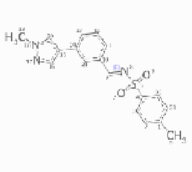 Cc1ccc(S(=O)(=O)/N=C/c2cccc(-c3cnn(C)c3)c2)cc1